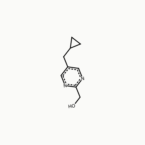 OCc1ncc(CC2CC2)cn1